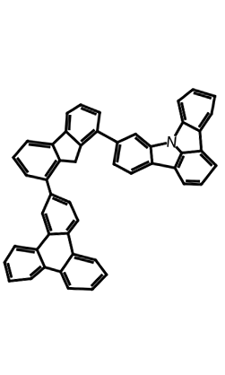 c1cc(-c2ccc3c4ccccc4c4ccccc4c3c2)c2c(c1)-c1cccc(-c3ccc4c5cccc6c7ccccc7n(c4c3)c65)c1C2